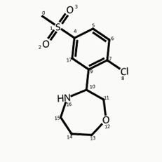 CS(=O)(=O)c1ccc(Cl)c(C2COCCCN2)c1